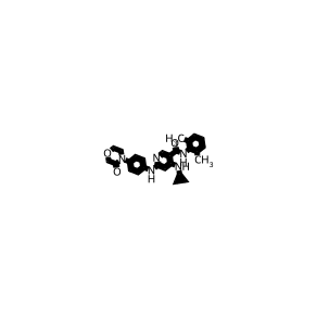 Cc1cccc(C)c1NC(=O)c1cnc(Nc2ccc(N3CCOCC3=O)cc2)cc1NC1CC1